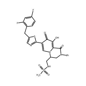 CC(C)N1CC(CNS(C)(=O)=O)n2cc(-c3ncc(Cc4ccc(F)cc4F)s3)c(=O)c(O)c2C1=O